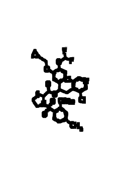 COc1cc(C)ccc1S(=O)(=O)N1CCSC1C(=O)OC(Cc1c(Cl)cncc1Cl)c1ccc(OC(F)F)c(OCC2CC2)c1